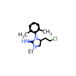 CCN1CC(CCCl)N(c2c(C)cccc2C)C1=N